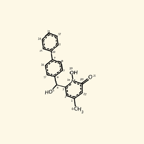 Cc1cc(C(O)c2ccc(-c3ccccc3)cc2)n(O)c(=O)c1